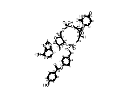 Nc1ncnc2c1ncn2[C@@H]1O[C@@H]2COP(=O)(O)O[C@@H]3[C@H](F)[C@@H](CO[P@](=O)(SCc4ccc(OC(=O)c5ccc(O)cc5)cc4)O[C@H]2[C@H]1F)O[C@H]3n1ccc(=O)[nH]c1=O